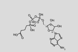 Nc1ncnc2c1ncn2[C@@H]1O[C@H](COP(=O)(O)OP(=O)(O)OP(=O)(O)CCCC(=O)O)[C@H](O)C1O